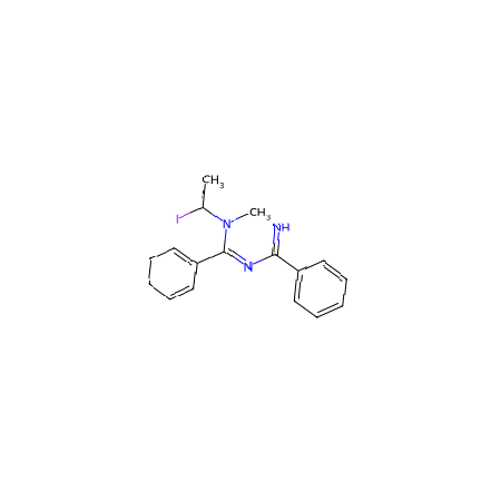 CC(I)N(C)/C(=N\C(=N)c1ccccc1)C1=CCCC=C1